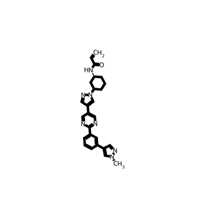 C=CC(=O)N[C@@H]1CCCC(n2cc(-c3cnc(-c4cccc(-c5cnn(C)c5)c4)nc3)cn2)C1